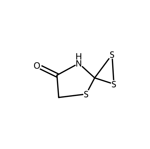 O=C1CSC2(N1)SS2